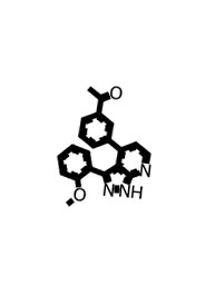 COc1ccccc1-c1n[nH]c2nccc(-c3cccc(C(C)=O)c3)c12